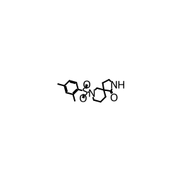 Cc1ccc(S(=O)(=O)N2CCCC3(CCNC3=O)C2)c(C)c1